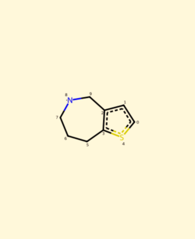 c1cc2c(s1)CCC[N]C2